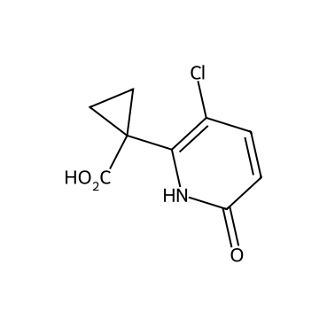 O=C(O)C1(c2[nH]c(=O)ccc2Cl)CC1